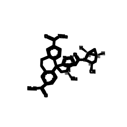 CNC(=O)c1ccc2c(c1)CCc1cc(C(=O)NC)ccc1C2(C[C@H](NCC(=O)N1[C@H](C#N)C[C@@H]2C[C@@H]21)C(C)(C)C)c1nnn[nH]1